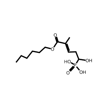 CCCCCCOC(=O)C(C)=CCC(O)P(=O)(O)O